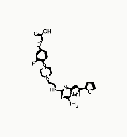 Nc1nc(NCCN2CCN(c3ccc(OCC(=O)O)cc3F)CC2)nc2cc(-c3ccco3)nn12